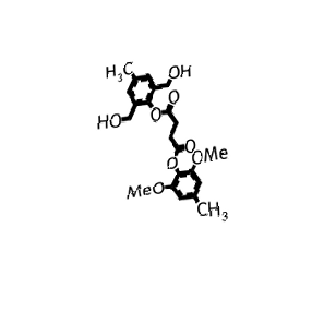 COc1cc(C)cc(OC)c1OC(=O)CCC(=O)Oc1c(CO)cc(C)cc1CO